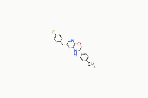 Cc1ccc([C@H]2COc3ncc(Cc4ccc(F)cc4)cc3N2)cc1